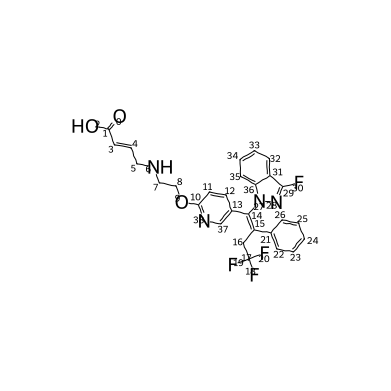 O=C(O)/C=C/CNCCOc1ccc(/C(=C(\CC(F)(F)F)c2ccccc2)n2nc(F)c3ccccc32)cn1